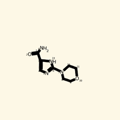 NC(=O)c1cnc(N2CCOCC2)[nH]1